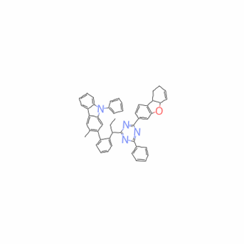 CCC(c1nc(-c2ccccc2)nc(-c2ccc3c(c2)OC2C=CCCC32)n1)c1ccccc1-c1cc2c(cc1C)c1ccccc1n2-c1ccccc1